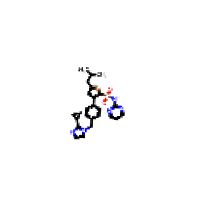 CC(C)Cc1cc(-c2ccc(Cn3ccnc3C3CC3)cc2)c(S(=O)(=O)Nc2ncccn2)s1